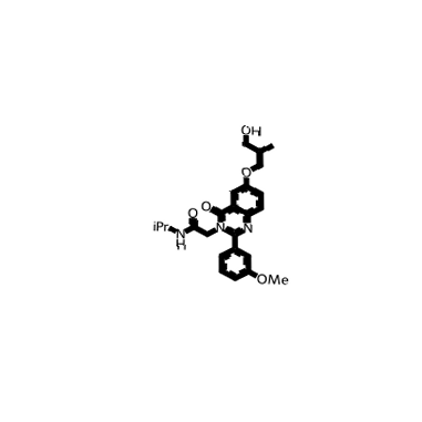 COc1cccc(-c2nc3ccc(OCC(C)CO)cc3c(=O)n2CC(=O)NC(C)C)c1